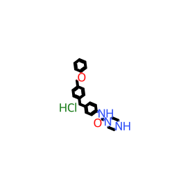 Cl.O=C(Nc1ccc(Cc2ccc(COc3ccccc3)cc2)cc1)N1CCNCC1